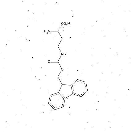 N[C@@H](CCNC(=O)OCC1c2ccccc2-c2ccccc21)C(=O)O